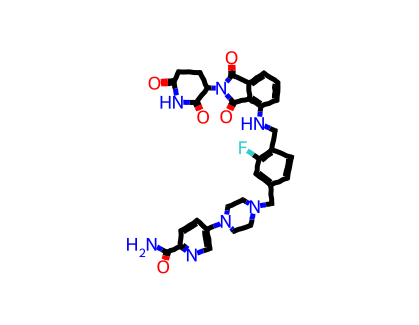 NC(=O)c1ccc(N2CCN(Cc3ccc(CNc4cccc5c4C(=O)N(C4CCC(=O)NC4=O)C5=O)c(F)c3)CC2)cn1